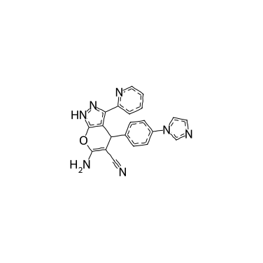 N#CC1=C(N)Oc2[nH]nc(-c3ccccn3)c2C1c1ccc(-n2ccnc2)cc1